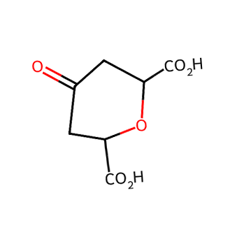 O=C1CC(C(=O)O)OC(C(=O)O)C1